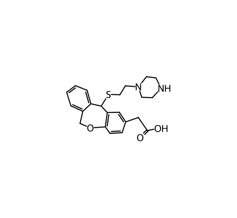 O=C(O)Cc1ccc2c(c1)C(SCCN1CCNCC1)c1ccccc1CO2